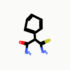 NC(=O)C(C(N)=S)c1ccccc1